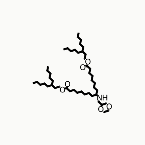 CCCCCC(CCCCC)CCOC(=O)CCCCCCCC(CCCCCCCC(=O)OCCC(CCCCC)CCCCC)NCC1COCCO1